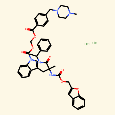 CC(NC(=O)C(C)(Cc1cn(C(=O)OCOC(=O)c2ccc(CN3CCN(C)CC3)cc2)c2ccccc12)NC(=O)OCc1cc2ccccc2o1)c1ccccc1.Cl.Cl